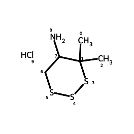 CC1(C)SSSCC1N.Cl